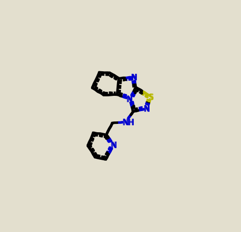 c1ccc(CNc2nsc3nc4ccccc4n23)nc1